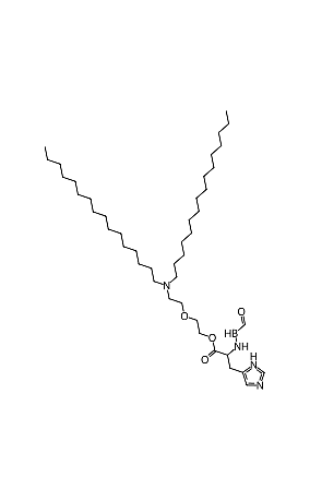 CCCCCCCCCCCCCCCCN(CCCCCCCCCCCCCCCC)CCOCCOC(=O)C(Cc1cnc[nH]1)NBC=O